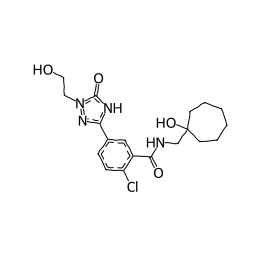 O=C(NCC1(O)CCCCCC1)c1cc(-c2nn(CCO)c(=O)[nH]2)ccc1Cl